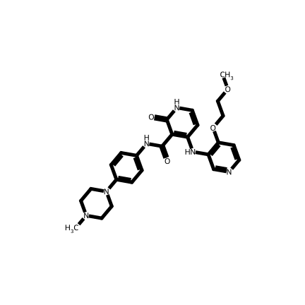 COCCOc1ccncc1Nc1cc[nH]c(=O)c1C(=O)Nc1ccc(N2CCN(C)CC2)cc1